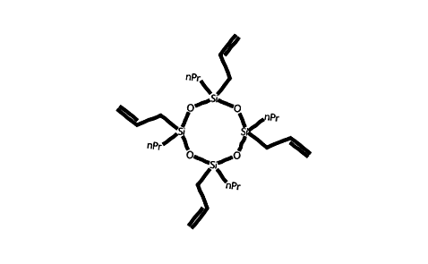 C=CC[Si]1(CCC)O[Si](CC=C)(CCC)O[Si](CC=C)(CCC)O[Si](CC=C)(CCC)O1